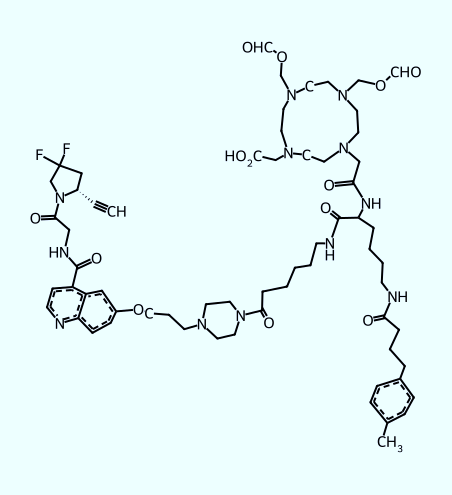 C#C[C@H]1CC(F)(F)CN1C(=O)CNC(=O)c1ccnc2ccc(OCCCN3CCN(C(=O)CCCCCNC(=O)C(CCCCNC(=O)CCCc4ccc(C)cc4)NC(=O)CN4CCN(COC=O)CCN(COC=O)CCN(CC(=O)O)CC4)CC3)cc12